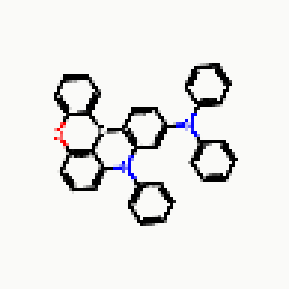 c1ccc(N(c2ccccc2)c2ccc3c(c2)N(c2ccccc2)c2cccc4c2B3c2ccccc2O4)cc1